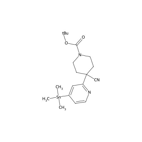 CC(C)(C)OC(=O)N1CCC(C#N)(c2c[c]([Sn]([CH3])([CH3])[CH3])ccn2)CC1